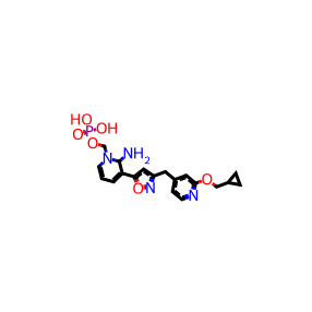 NC1C(c2cc(Cc3ccnc(OCC4CC4)c3)no2)=CC=CN1COP(=O)(O)O